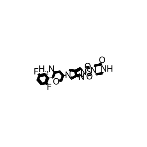 N[C@H]1C[C@@H](N2Cc3cn(S(=O)(=O)N4CCNC(=O)C4)nc3C2)CO[C@@H]1c1cc(F)ccc1F